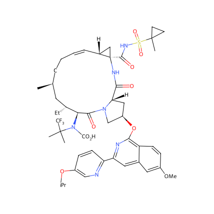 CC[C@@H]1C[C@@H](C)CC/C=C\[C@@H]2C[C@@]2(C(=O)NS(=O)(=O)C2(C)CC2)NC(=O)[C@@H]2C[C@@H](Oc3nc(-c4ccc(OC(C)C)cn4)cc4cc(OC)ccc34)CN2C(=O)[C@H]1N(C(=O)O)C(C)(C)C(F)(F)F